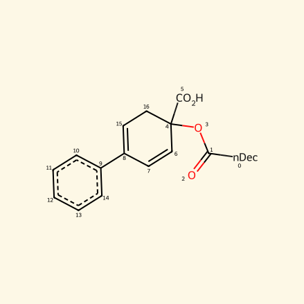 CCCCCCCCCCC(=O)OC1(C(=O)O)C=CC(c2ccccc2)=CC1